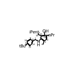 CCCc1cc(C)c(NCc2ccc(C(C)(C)C)cc2)c(CC(C)CCC)c1O